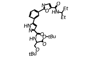 CCC(CC)NC(=O)c1cnc(-c2cccc(-c3cc(C(=O)NC(COC(C)(C)C)C(=O)OC(C)(C)C)n[nH]3)c2)o1